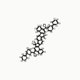 CC1(C)c2cc(C(=O)c3cccc(-c4ccccc4)c3)c3ccccc3c2-c2ccc3c4c(ccc3c21)-c1c(cc(C(=O)C2C=CC=C(C3=CC=CCC3)C2)c2ccccc12)C4(C)C